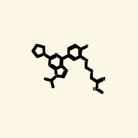 CNC(=O)CCCOc1cc(-c2nc(N3CCCC3)nc3c2ncn3C(C)C)ccc1F